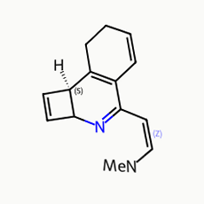 CN/C=C\C1=NC2C=C[C@H]2C2=C1C=CCC2